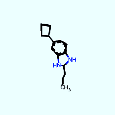 CCCC1Nc2ccc(C3CCC3)cc2N1